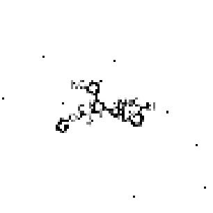 CCC(OC)c1cccc(Cn2cc(-c3cc(-c4cccc(C#N)c4)nc(NC(=O)COc4ccccc4)n3)nn2)n1